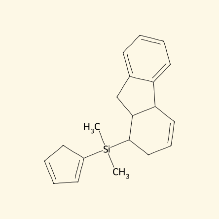 C[Si](C)(C1=CC=CC1)C1CC=CC2c3ccccc3CC21